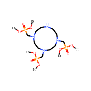 CCOP(=O)(CN1CCNCCN(CP(=O)(OCC)OCC)CCN(CP(=O)(OCC)OCC)CC1)OCC